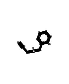 C#CC=C=Cc1ccccc1